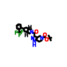 CC(C)(C)OC(=O)N1CCc2[nH]nc(C(=O)N3C[C@H]4CC(c5ccccc5C(F)(F)F)C[C@H]4C3)c2C1